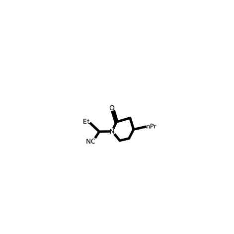 CCCC1CCN(C(C#N)CC)C(=O)C1